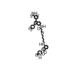 NC(=S)c1cccc(-c2cn(C3CCC(F)(F)CC3)c3cc(NC(=O)CCOCCCCCCNc4cccc5c4CN(C4CCC(=O)NC4=O)C5=O)ccc23)c1